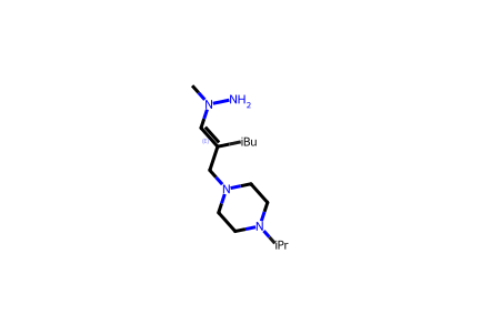 CCC(C)/C(=C\N(C)N)CN1CCN(C(C)C)CC1